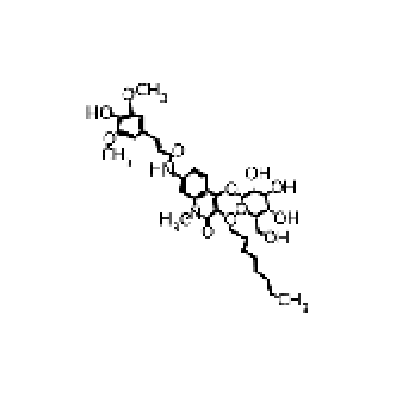 CCCCCCCCOc1c(O[C@@H]2O[C@H](CO)[C@H](O)[C@H](O)[C@H]2O)c2ccc(NC(=O)/C=C/c3cc(OC)c(O)c(OC)c3)cc2n(C)c1=O